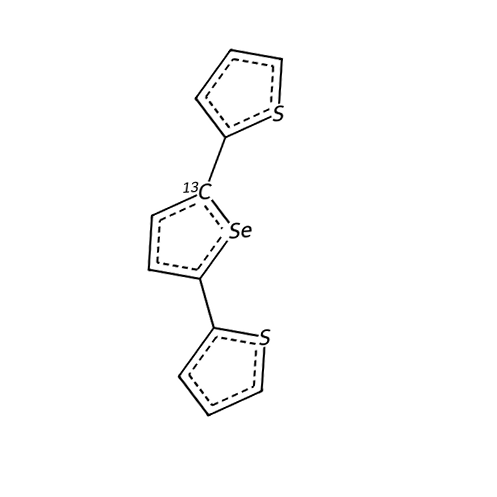 c1csc(-c2cc[13c](-c3cccs3)[se]2)c1